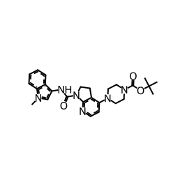 Cn1cc(NC(=O)N2CCc3c(N4CCN(C(=O)OC(C)(C)C)CC4)ccnc32)c2ccccc21